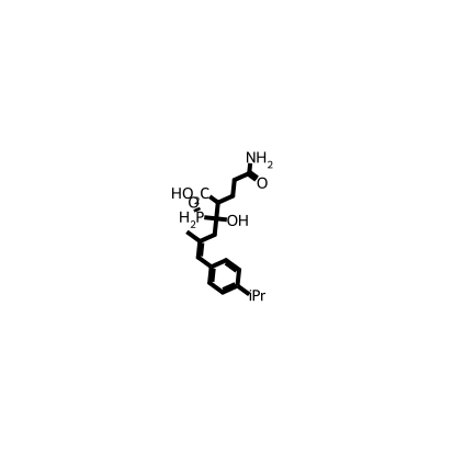 CC(=Cc1ccc(C(C)C)cc1)CC(O)([PH2]=O)C(CCC(N)=O)C(=O)O